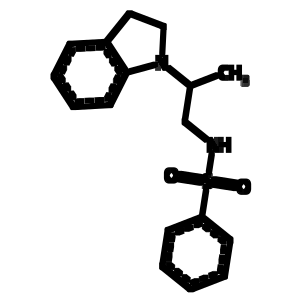 CC(CNS(=O)(=O)c1ccccc1)N1CCc2ccccc21